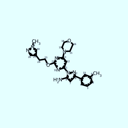 Cc1cccc(-c2cc(N)n(-c3cc(N4CCOCC4)nc(OCCc4cnn(C)c4)n3)n2)c1